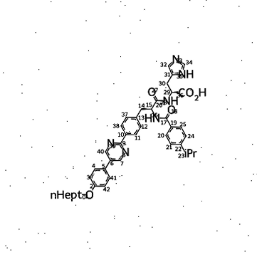 CCCCCCCOc1ccc(-c2cnc(-c3ccc(C[C@H](NC(=O)c4ccc(C(C)C)cc4)C(=O)N[C@@H](Cc4cnc[nH]4)C(=O)O)cc3)nc2)cc1